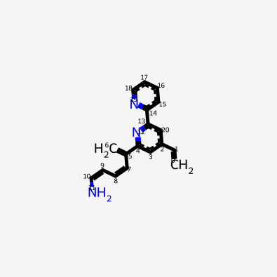 C=Cc1cc(C(=C)/C=C\C=C/N)nc(-c2ccccn2)c1